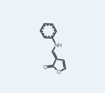 O=C1OC=CC1=CNc1ccccc1